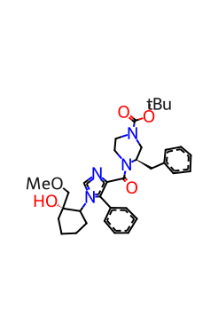 COC[C@]1(O)CCCCC1n1cnc(C(=O)N2CCN(C(=O)OC(C)(C)C)C[C@H]2Cc2ccccc2)c1-c1ccccc1